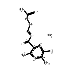 Br.NC(=O)NNC=NC(=O)c1nc(Cl)c(N)nc1N